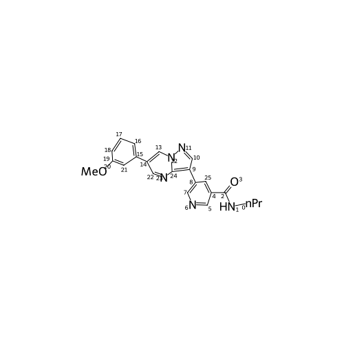 CCCNC(=O)c1cncc(-c2cnn3cc(-c4cccc(OC)c4)cnc23)c1